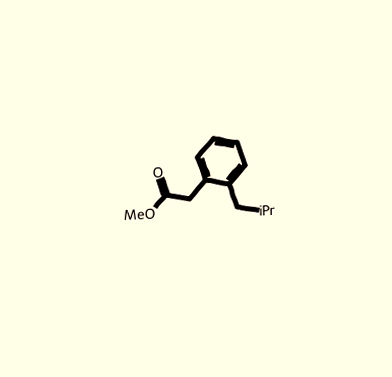 COC(=O)Cc1ccccc1CC(C)C